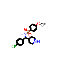 O=S(=O)(NC(c1ccc(Cl)cc1)C1CCNCC1)c1ccc(OC(F)(F)F)cc1